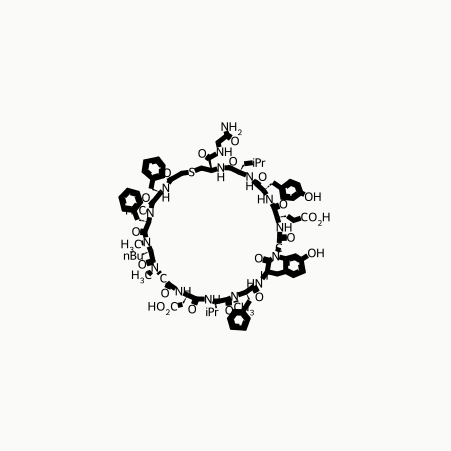 CCCC[C@H]1C(=O)N(C)CC(=O)N[C@@H](CC(=O)O)C(=O)N[C@@H](C(C)C)C(=O)N(C)[C@@H](Cc2ccccc2)C(=O)N[C@H]2Cc3ccc(O)cc3N(CC(=O)N[C@@H](CCC(=O)O)C(=O)N[C@@H](Cc3ccc(O)cc3)C(=O)N[C@@H](CC(C)C)C(=O)N[C@H](C(=O)NCC(N)=O)CSCC(=O)N[C@@H](Cc3ccccc3)C(=O)N(C)[C@@H](Cc3ccccc3)C(=O)N1C)C2=O